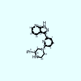 CC(C)[C@H]1CN(c2cccc(-c3n[nH]c4ncccc34)n2)CCN1